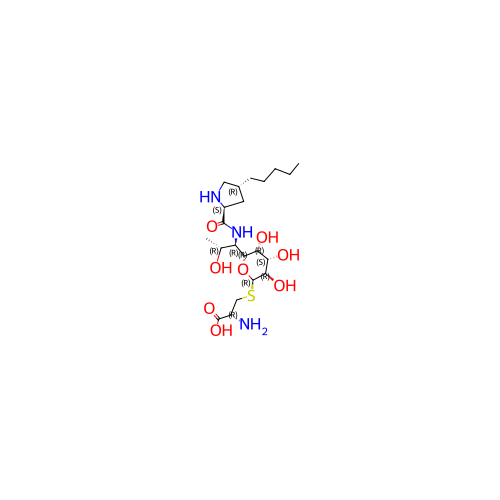 CCCCC[C@H]1CN[C@H](C(=O)N[C@@H]([C@H]2O[C@H](SC[C@H](N)C(=O)O)[C@H](O)[C@@H](O)[C@H]2O)[C@@H](C)O)C1